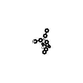 c1ccc(-c2ccc(N(c3ccc(-c4ccncc4)cc3)c3ccc4c(c3)C3(c5ccccc5Oc5c3ccc3ccccc53)c3ccccc3-4)cc2)cc1